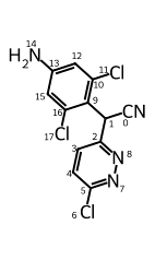 N#CC(c1ccc(Cl)nn1)c1c(Cl)cc(N)cc1Cl